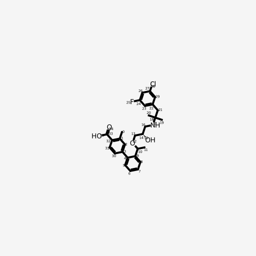 Cc1cc(-c2ccccc2C(C)OC[C@@H](O)CNC(C)(C)Cc2cc(F)cc(Cl)c2)ccc1C(=O)O